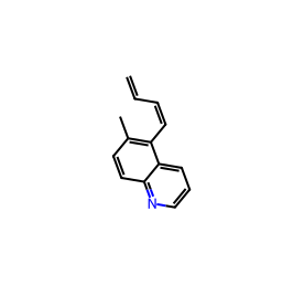 C=C/C=C\c1c(C)ccc2ncccc12